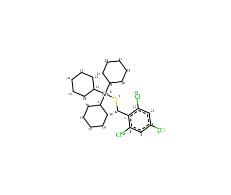 Clc1cc(Cl)c(C[S][Sn]([CH]2CCCCC2)([CH]2CCCCC2)[CH]2CCCCC2)c(Cl)c1